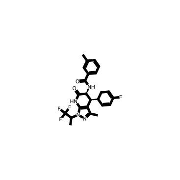 Cc1cccc(C(=O)N[C@@H]2C(=O)Nc3c(c(C)nn3C(C)C(F)(F)F)[C@@H]2C2C=CC(F)=CC2)c1